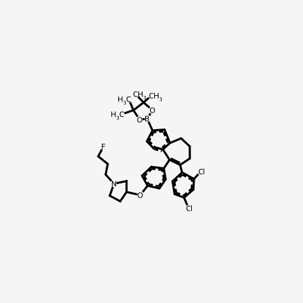 CC1(C)OB(c2ccc3c(c2)CCCC(c2ccc(Cl)cc2Cl)=C3c2ccc(OC3CCN(CCCF)C3)cc2)OC1(C)C